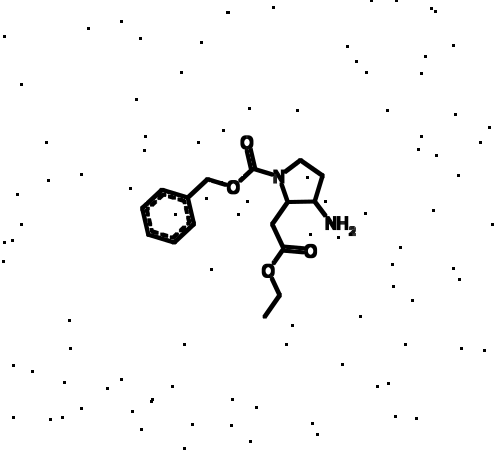 CCOC(=O)CC1C(N)CCN1C(=O)OCc1ccccc1